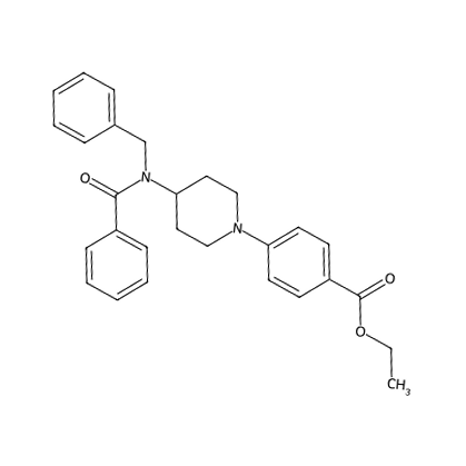 CCOC(=O)c1ccc(N2CCC(N(Cc3ccccc3)C(=O)c3ccccc3)CC2)cc1